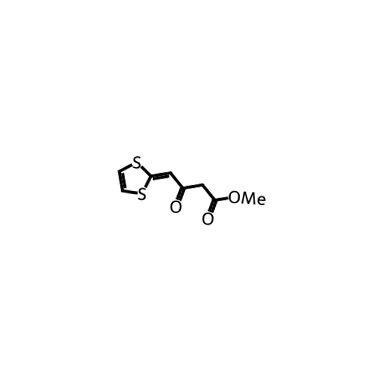 COC(=O)CC(=O)C=C1SC=CS1